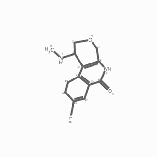 CNC1COCc2[nH]c(=O)c3c(c21)CCC(F)=C3